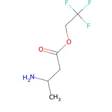 CC(N)CC(=O)OCC(F)(F)F